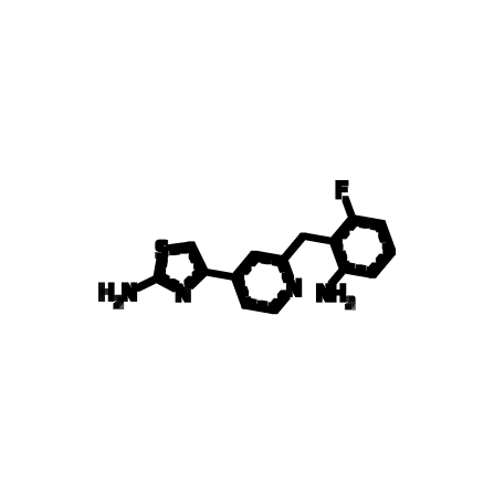 Nc1nc(-c2ccnc(Cc3c(N)cccc3F)c2)cs1